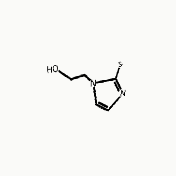 OCCn1ccnc1[S]